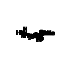 CCn1c(=O)c(CC(=O)OC)cc2ccc(OCCCCNC(=N)N)cc21